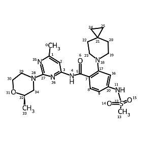 Cc1cc(NC(=O)c2ccc(NS(C)(=O)=O)cc2N2CCC3(CC2)CC3)nc(N2CCO[C@H](C)C2)n1